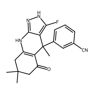 CC1(C)CC(=O)C2=C(C1)Nc1n[nH]c(F)c1C2(C)c1cccc(C#N)c1